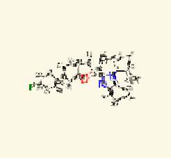 CC(C)c1cccc(C(C)C)c1-n1c(-c2cccc3c2oc2cc(-c4ccc(F)cc4)ccc23)nc2ccccc21